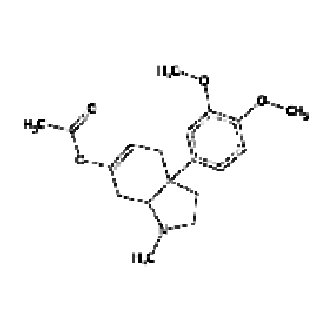 COc1ccc(C23CC=C(OC(C)=O)CC2N(C)CC3)cc1OC